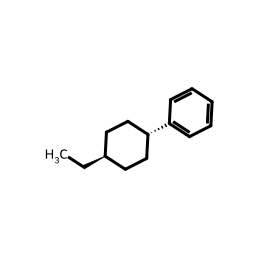 CC[C@H]1CC[C@H](c2ccccc2)CC1